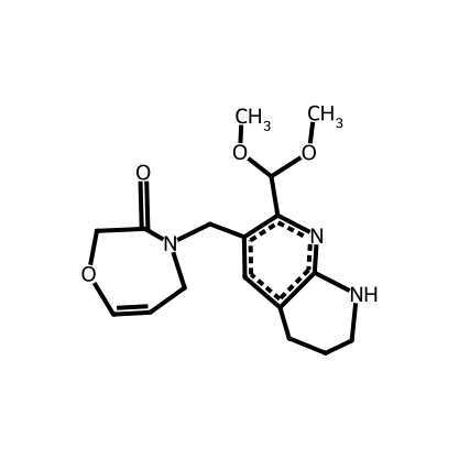 COC(OC)c1nc2c(cc1CN1CC=COCC1=O)CCCN2